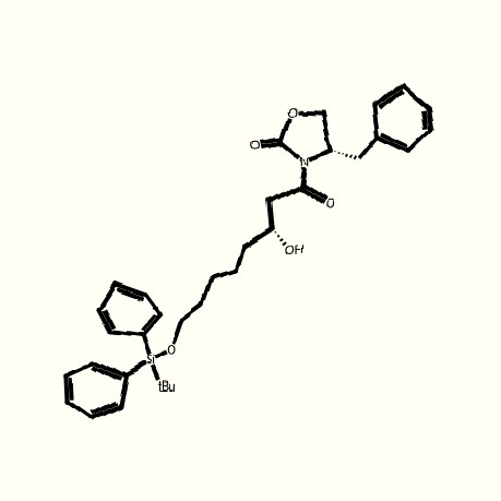 CC(C)(C)[Si](OCCCCC[C@@H](O)CC(=O)N1C(=O)OC[C@@H]1Cc1ccccc1)(c1ccccc1)c1ccccc1